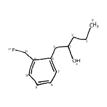 CCCC(O)Cc1ccccc1CF